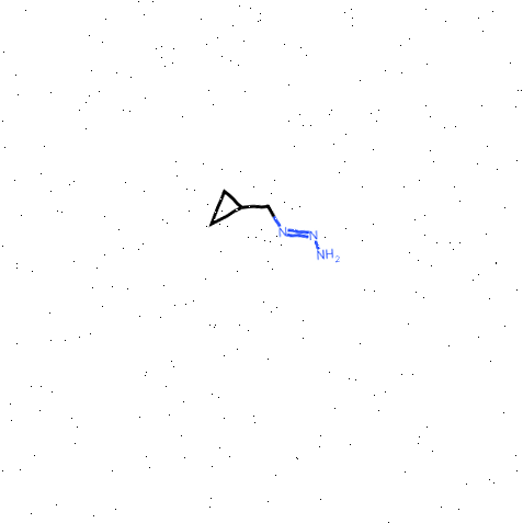 NN=NCC1CC1